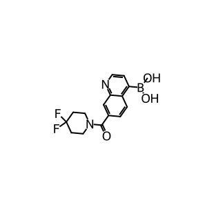 O=C(c1ccc2c(B(O)O)ccnc2c1)N1CCC(F)(F)CC1